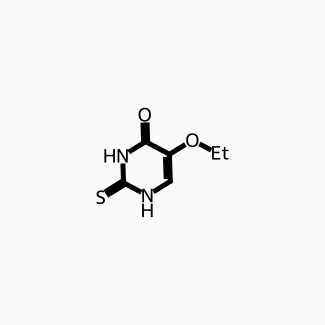 CCOc1c[nH]c(=S)[nH]c1=O